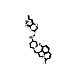 C=C/C=C1/OC[C@H](CNC2CCN(CC3Cn4c(=O)ccc5ccc(F)c3c54)CC2)O/C1=N/N